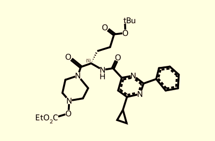 CCOC(=O)ON1CCN(C(=O)[C@H](CCC(=O)OC(C)(C)C)NC(=O)c2cc(C3CC3)nc(-c3ccccc3)n2)CC1